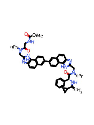 C=C(N[C@@H](C(=O)N(CCC)Cc1nc2ccc3cc(-c4ccc5c(ccc6nc(CN(CCC)C(=O)CNC(=O)OC)[nH]c65)c4)ccc3c2[nH]1)c1ccccc1)C1CC1